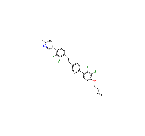 C=CCCOc1ccc(-c2ccc(CCc3ccc(-c4ccc(C)nc4)c(F)c3F)cc2)c(F)c1F